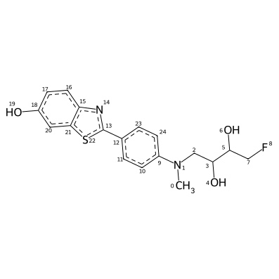 CN(CC(O)C(O)CF)c1ccc(-c2nc3ccc(O)cc3s2)cc1